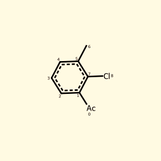 CC(=O)c1cccc(C)c1Cl